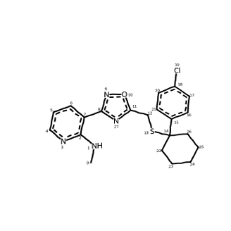 CNc1ncccc1-c1noc(CSC2(c3ccc(Cl)cc3)CCCCC2)n1